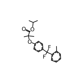 Cc1ccccc1C(F)(F)c1ccc(OC(C)(C)C(=O)OC(C)C)cc1